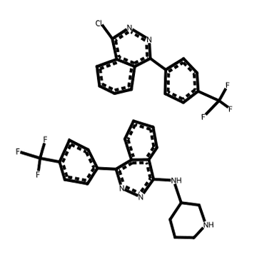 FC(F)(F)c1ccc(-c2nnc(Cl)c3ccccc23)cc1.FC(F)(F)c1ccc(-c2nnc(NC3CCCNC3)c3ccccc23)cc1